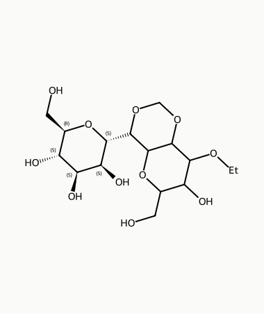 CCOC1C(O)C(CO)OC2C1OCOC2[C@H]1O[C@H](CO)[C@@H](O)[C@H](O)[C@@H]1O